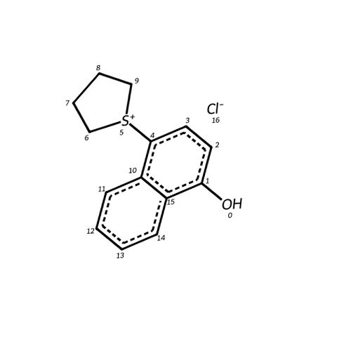 Oc1ccc([S+]2CCCC2)c2ccccc12.[Cl-]